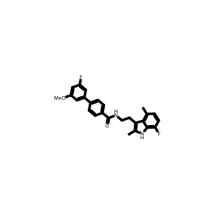 COc1cc(F)cc(-c2ccc(C(=O)NCCc3c(C)[nH]c4c(F)ccc(C)c34)cc2)c1